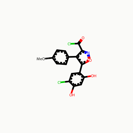 COc1ccc(-c2c(C(=O)Cl)noc2-c2cc(Cl)c(O)cc2O)cc1